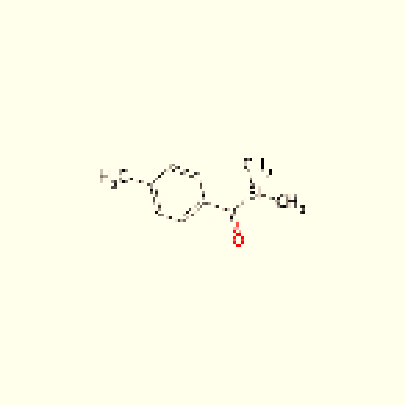 Cc1ccc(C(=O)[Si](C)C)cc1